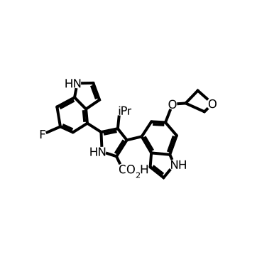 CC(C)c1c(-c2cc(F)cc3[nH]ccc23)[nH]c(C(=O)O)c1-c1cc(OC2COC2)cc2[nH]ccc12